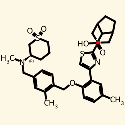 Cc1ccc(OCc2ccc(CN(C)[C@@H]3CCCS(=O)(=O)C3)cc2C)c(-c2csc(N3CC4CCC(C3)C4C(=O)O)n2)c1